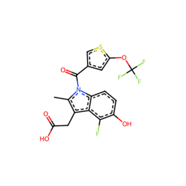 Cc1c(CC(=O)O)c2c(F)c(O)ccc2n1C(=O)c1csc(OC(F)(F)F)c1